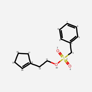 O=S(=O)(Cc1ccccc1)OCCC1=CCCC1